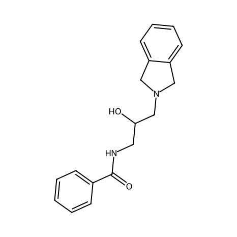 O=C(NCC(O)CN1Cc2ccccc2C1)c1ccccc1